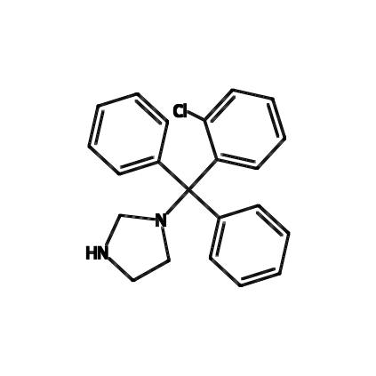 Clc1ccccc1C(c1ccccc1)(c1ccccc1)N1CCNC1